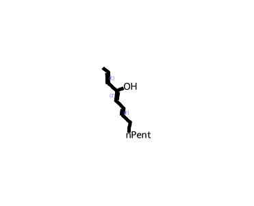 C/C=C/C(O)=C/C=C/CCCCCC